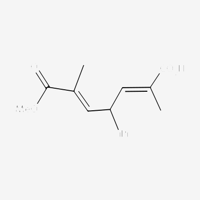 COC(=O)C(C)=CC(C=C(C)C(=O)O)C(C)C